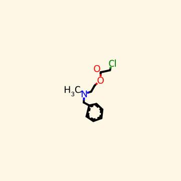 CN(CCOC(=O)CCl)Cc1ccccc1